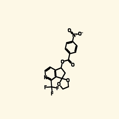 O=C(OC1CC2(OCCO2)c2c1ccnc2C(F)(F)F)c1ccc([N+](=O)[O-])cc1